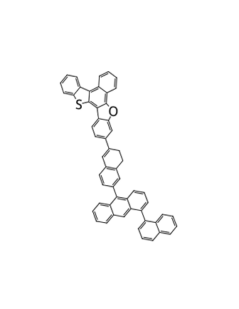 C1=C(c2ccc3c(c2)oc2c4ccccc4c4c5ccccc5sc4c32)CCc2cc(-c3c4ccccc4cc4c(-c5cccc6ccccc56)cccc34)ccc21